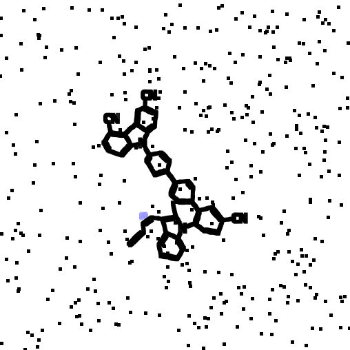 C=C/C=C\c1c(C)n(-c2ccc(C#N)cc2-c2ccc(-c3ccc(-n4c5ccc(C#N)cc5c5c(C#N)cccc54)cc3)cc2)c2ccccc12